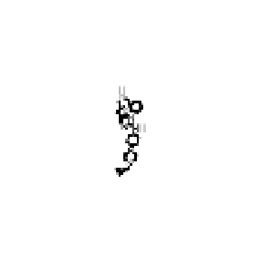 c1nc(NC2CCC(N3CCN(CC4CC4)CC3)CC2)nc2c1cc1n2C2(CCCCC2)CNC1